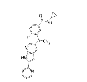 CN(c1cnc2[nH]c(-c3ccccn3)cc2c1)c1cc(C(=O)NC2CC2)ccc1F